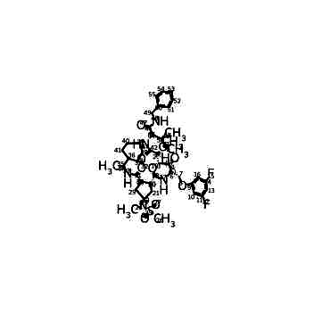 CO[C@H](C[C@H](O)[C@H](COc1cc(F)cc(F)c1)NC(=O)[C@@H]1C[C@@H](N(C)S(C)(=O)=O)C[C@H]1C(=O)N[C@@H](C)C1CCCCC1)C(=O)N[C@H](C(=O)NCc1ccccc1)C(C)C